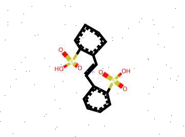 O=S(=O)(O)c1ccccc1/C=C/c1ccccc1S(=O)(=O)O